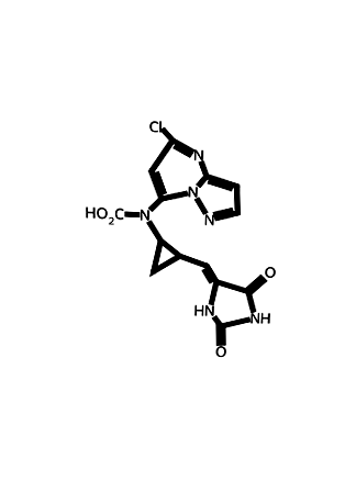 O=C1NC(=O)C(=CC2CC2N(C(=O)O)c2cc(Cl)nc3ccnn23)N1